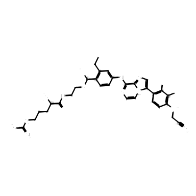 CCc1cc(Nc2nccn3c(-c4ccc(OCC#N)c(F)c4F)cnc23)ccc1C(O)NCCNC(=O)C(N)CCCNC(=N)N